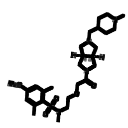 COc1cc(C)c(S(=O)(=O)N(C)CCOCC(=O)N2C[C@H]3CN(CC4CCN(C)CC4)C[C@H]3C2)c(C)c1